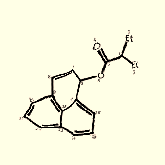 CCC(CC)C(=O)OC1C=Cc2cccc3cccc1c23